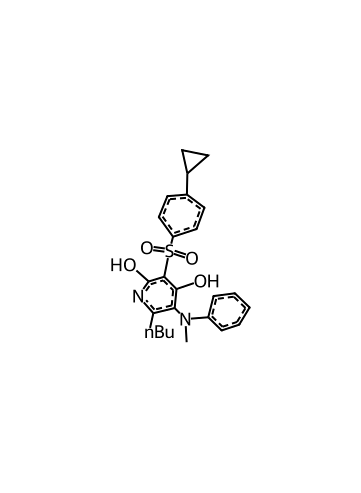 CCCCc1nc(O)c(S(=O)(=O)c2ccc(C3CC3)cc2)c(O)c1N(C)c1ccccc1